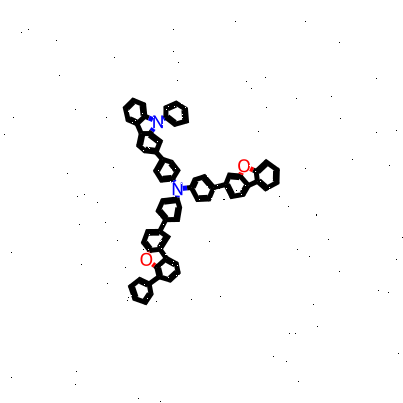 c1ccc(-c2cccc3c2oc2ccc(-c4ccc(N(c5ccc(-c6ccc7c(c6)oc6ccccc67)cc5)c5ccc(-c6ccc7c8ccccc8n(-c8ccccc8)c7c6)cc5)cc4)cc23)cc1